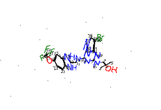 CN(CC(C)(C)O)c1nc(NCc2nc3cc(OC(F)(F)F)ccc3[nH]2)n2ncc(Br)c2n1